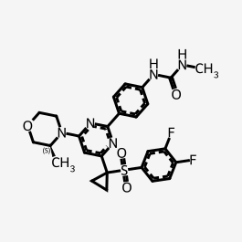 CNC(=O)Nc1ccc(-c2nc(N3CCOC[C@@H]3C)cc(C3(S(=O)(=O)c4ccc(F)c(F)c4)CC3)n2)cc1